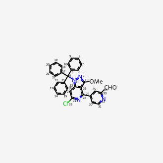 COc1nn(C(c2ccccc2)(c2ccccc2)c2ccccc2)c2cc(Cl)nc(-c3ccnc(C=O)c3)c12